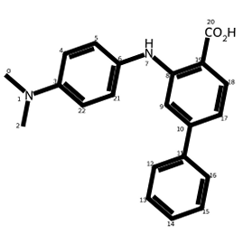 CN(C)c1ccc(Nc2cc(-c3ccccc3)ccc2C(=O)O)cc1